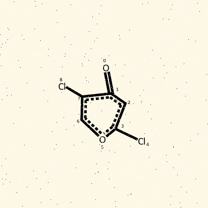 O=c1cc(Cl)occ1Cl